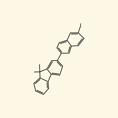 CC1(C)c2ccccc2-c2ccc(-c3ccc4cc(I)ccc4c3)cc21